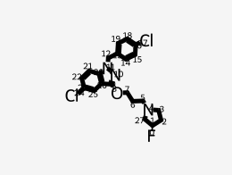 F[C@H]1CCN(CCCOc2nn(Cc3ccc(Cl)cc3)c3ccc(Cl)cc23)C1